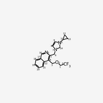 FC(F)(F)COCc1c(CN2C=CN(C3CC3)C2)ncc2ccccc12